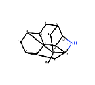 CC12CC3CC4C5CC(CC41)CC21NC3C51